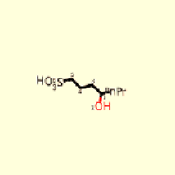 CCC[C](O)CCCS(=O)(=O)O